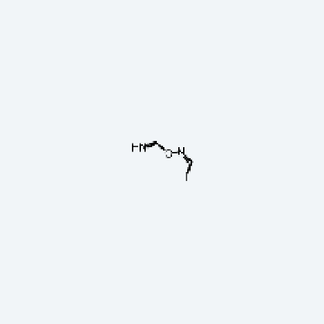 N=CO/N=C\I